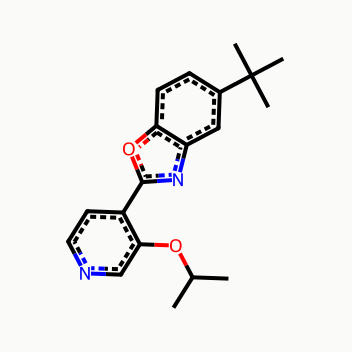 CC(C)Oc1cnccc1-c1nc2cc(C(C)(C)C)ccc2o1